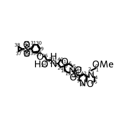 COCCN1CCOc2ncc(S(=O)(=O)N3CCC4(CC3)C[C@@H](NCC(O)COc3cccc(S(=O)(=O)C5CC5)c3)CO4)cc21